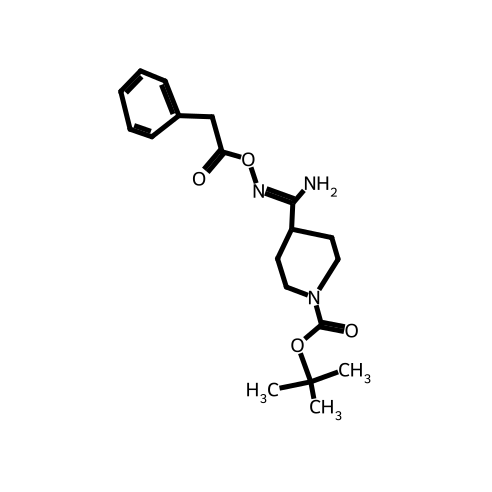 CC(C)(C)OC(=O)N1CCC(/C(N)=N/OC(=O)Cc2ccccc2)CC1